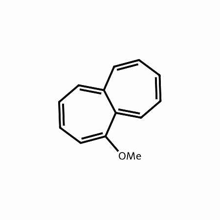 [CH2]OC1=CC=CC=C2C=CC=CC=C21